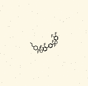 CCCC1CCC(C(F)(F)Oc2ccc(-c3ccc(C(F)(F)Oc4ccc(F)c(F)c4)cc3)c(F)c2F)CC1